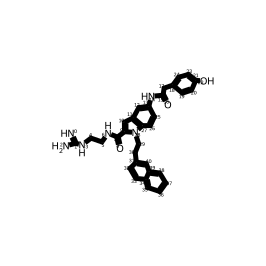 N=C(N)NCCNC(=O)c1cc2cc(NC(=O)Cc3ccc(O)cc3)ccc2n1CCc1ccc2ccccc2c1